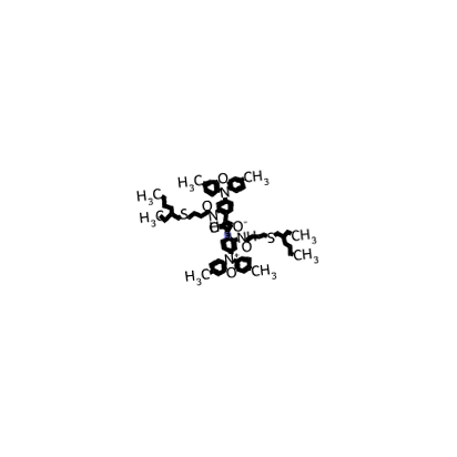 CCCCC(CC)CSCCCC(=O)NC1=CC(=[N+]2c3ccc(C)cc3Oc3cc(C)ccc32)C=C/C1=C1\C(=O)C(c2ccc(N3c4ccc(C)cc4Oc4cc(C)ccc43)cc2NC(=O)CCCSCC(CC)CCCC)=C1[O-]